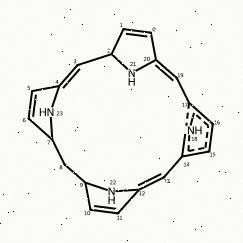 C1=CC2/C=C3/C=CC(CC4C=C/C(=C/c5ccc([nH]5)/C=C/1N2)N4)N3